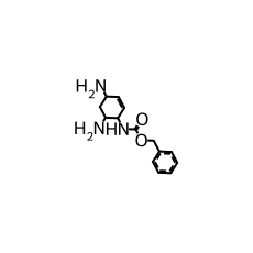 NC1C=CC(NC(=O)OCc2ccccc2)C(N)C1